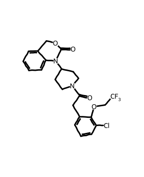 O=C(Cc1cccc(Cl)c1OCC(F)(F)F)N1CCC(N2C(=O)OCc3ccccc32)CC1